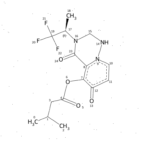 CC(C)CC(=O)Oc1c2n(ccc1=O)NCN([C@H](C)C(F)(F)F)C2=O